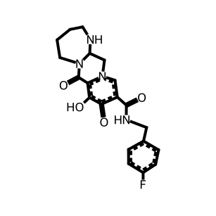 O=C(NCc1ccc(F)cc1)c1cn2c(c(O)c1=O)C(=O)N1CCCCNC1C2